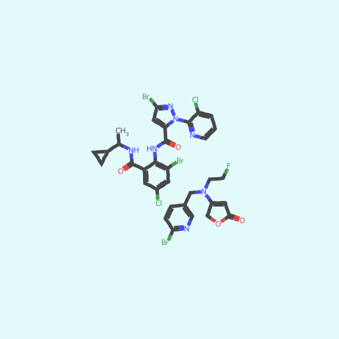 CC(NC(=O)c1cc(Cl)cc(Br)c1NC(=O)c1cc(Br)nn1-c1ncccc1Cl)C1CC1.O=C1C=C(N(CCF)Cc2ccc(Br)nc2)CO1